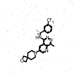 Cc1nnc(N[C@H](C)c2cccc(C(F)(F)F)c2)c2cc(N3CCC4(CC3)COC4)cnc12